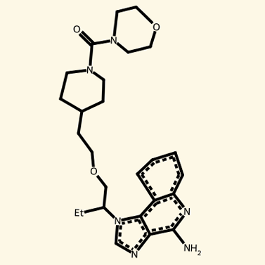 CCC(COCCC1CCN(C(=O)N2CCOCC2)CC1)n1cnc2c(N)nc3ccccc3c21